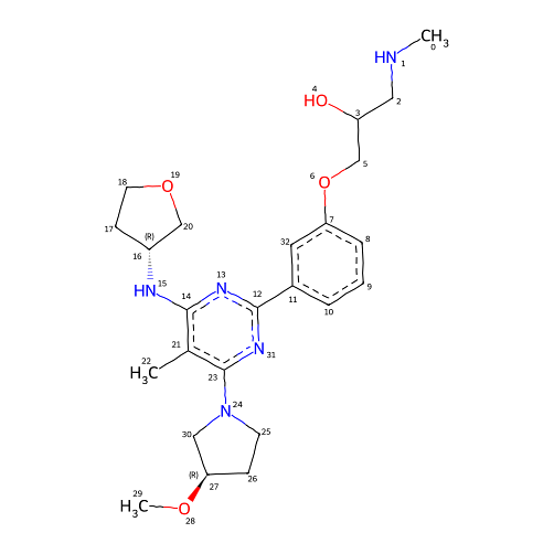 CNCC(O)COc1cccc(-c2nc(N[C@@H]3CCOC3)c(C)c(N3CC[C@@H](OC)C3)n2)c1